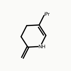 C=C1CCC(C(C)C)=CN1